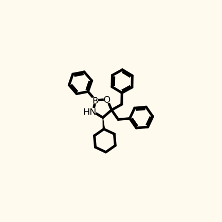 c1ccc(CC2(Cc3ccccc3)OB(c3ccccc3)N[C@@H]2C2CCCCC2)cc1